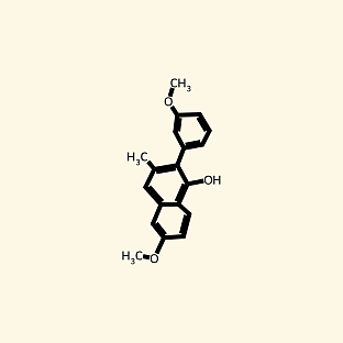 COc1cccc(-c2c(C)cc3cc(OC)ccc3c2O)c1